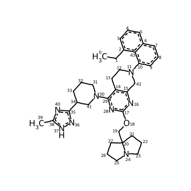 CCc1cccc2cccc(N3CCc4c(nc(OCC56CCCN5CCC6)nc4N4CCCC(c5n[nH]c(C)n5)C4)C3)c12